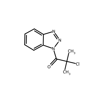 CC(C)(Cl)C(=O)n1nnc2ccccc21